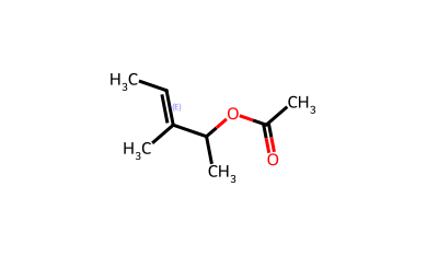 C/C=C(\C)C(C)OC(C)=O